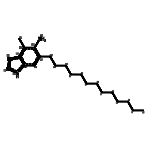 CCCCCCCCCCCCCc1cc2[nH]nnc2c(C)c1N